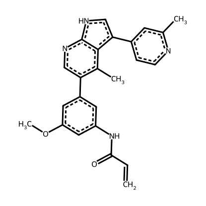 C=CC(=O)Nc1cc(OC)cc(-c2cnc3[nH]cc(-c4ccnc(C)c4)c3c2C)c1